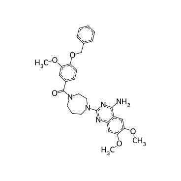 COc1cc2nc(N3CCCN(C(=O)c4ccc(OCc5ccccc5)c(OC)c4)CC3)nc(N)c2cc1OC